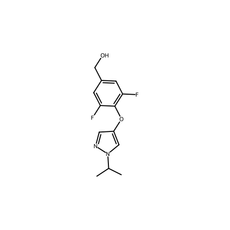 CC(C)n1cc(Oc2c(F)cc(CO)cc2F)cn1